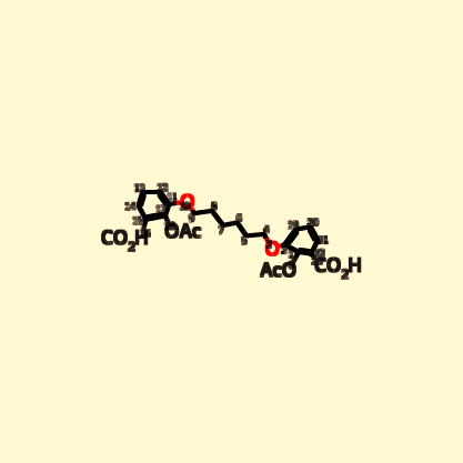 CC(=O)Oc1c(OCCCCCCOc2cccc(C(=O)O)c2OC(C)=O)cccc1C(=O)O